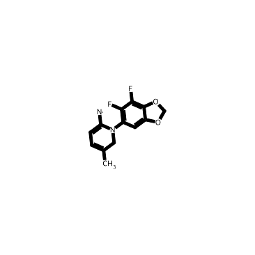 CC1=CC=C([N])N(c2cc3c(c(F)c2F)OCO3)C1